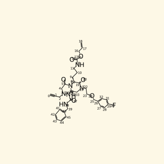 C#CCN1CC(=O)N2[C@@H](CCCNC(=O)OCC=C)C(=O)N(CCOCc3ccc(F)cc3)C[C@@H]2N1C(=O)NCc1ccccc1